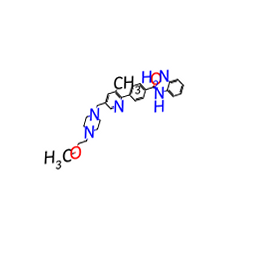 COCCN1CCN(Cc2cnc(-c3ccc(C(=O)Nc4ccccc4N)cc3)c(C)c2)CC1